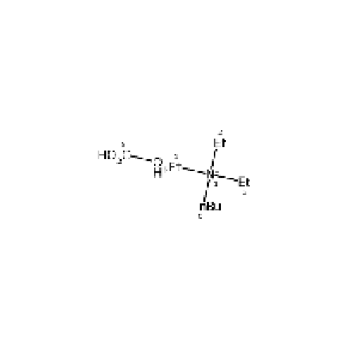 CCCC[N+](CC)(CC)CC.O=C(O)O